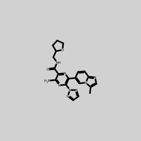 Cc1cnc2ccc(-c3nc(C(=O)NCC4CCCO4)c(N)nc3-n3nccn3)cn12